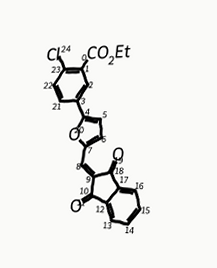 CCOC(=O)c1cc(-c2ccc(C=C3C(=O)c4ccccc4C3=O)o2)ccc1Cl